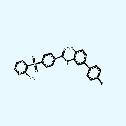 Cc1ncccc1S(=O)(=O)c1ccc(C(=O)Nc2cc(-c3ccc(F)cc3)ccc2N)cc1